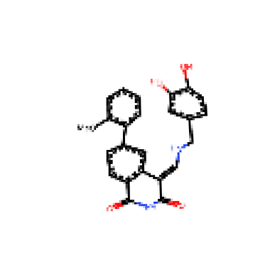 COc1ccccc1-c1ccc2c(c1)/C(=C\NCc1ccc(O)c(O)c1)C(=O)NC2=O